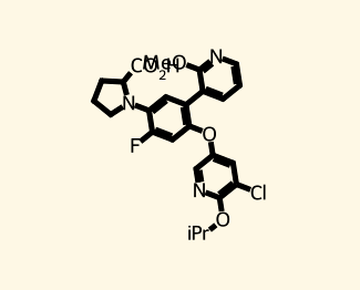 COc1ncccc1-c1cc(N2CCCC2C(=O)O)c(F)cc1Oc1cnc(OC(C)C)c(Cl)c1